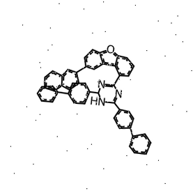 c1ccc(-c2ccc(C3=NC(c4cccc5oc6ccc(-c7ccc8ccccc8c7)cc6c45)=NC(c4ccc(-c5ccccc5)cc4)N3)cc2)cc1